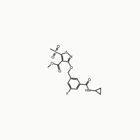 COC(=O)c1c(OCc2cc(F)cc(C(=O)NC3CC3)c2)nsc1S(C)(=O)=O